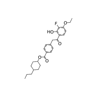 CCCC1CCC(OC(=O)c2ccc(CC(=O)c3ccc(OCC)c(F)c3O)cc2)CC1